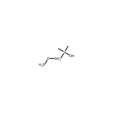 C[Si](C)(C)O.[SiH3]O[SiH3]